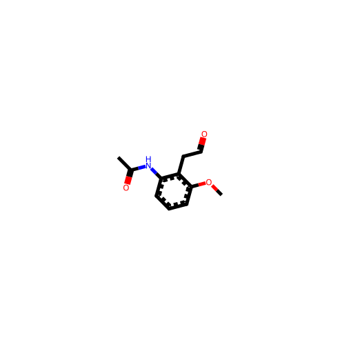 COc1cccc(NC(C)=O)c1CC=O